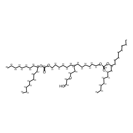 CCCCCCCCC(CCCCCCCC)OC(=O)OCCCCCCN(CCCCCCOC(=O)OC(CCCCCCCC)CCCCCCCC)CCOCCO